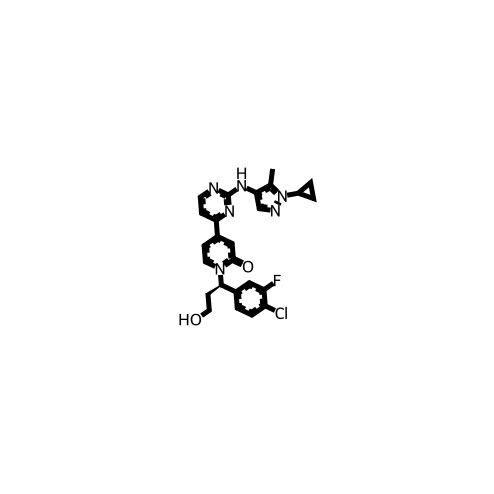 Cc1c(Nc2nccc(-c3ccn([C@H](CCO)c4ccc(Cl)c(F)c4)c(=O)c3)n2)cnn1C1CC1